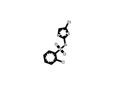 CCc1cnc([N]S(=O)(=O)c2ccccc2Cl)s1